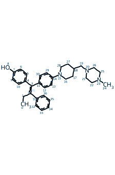 CC/C(=C(\c1ccc(O)cc1)c1ccc(N2CCC(CN3CCN(C)CC3)CC2)cc1)c1ccccc1